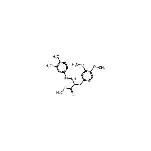 COC(=O)C(Cc1ccc(OC)c(OC)c1)NNc1ccc(C)c(C)c1